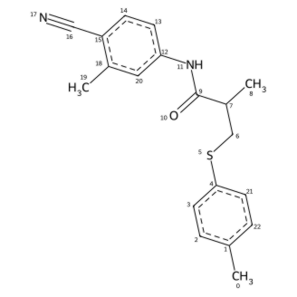 Cc1ccc(SCC(C)C(=O)Nc2ccc(C#N)c(C)c2)cc1